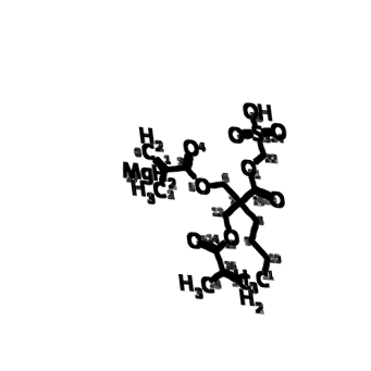 C=C(C)C(=O)OCC(CCCC)(COC(=O)C(=C)C)C(=O)OCS(=O)(=O)O.[MgH2]